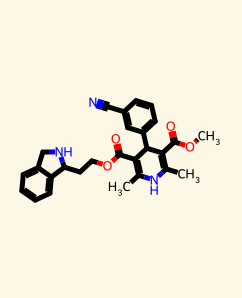 COC(=O)C1=C(C)NC(C)=C(C(=O)OCCC2NCc3ccccc32)C1c1cccc(C#N)c1